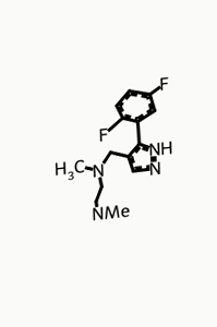 CNCCN(C)Cc1cn[nH]c1-c1cc(F)ccc1F